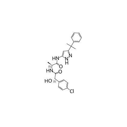 C[C@H](NC(=O)[C@@H](O)c1ccc(Cl)cc1)C(=O)Nc1cc(C(C)(C)c2ccccc2)n[nH]1